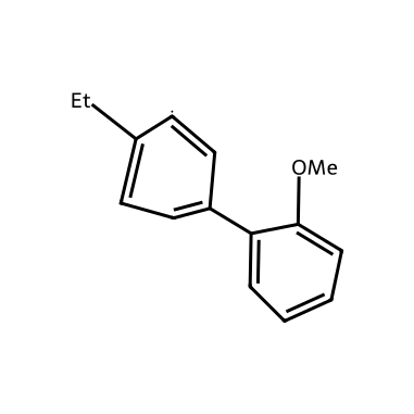 CCc1[c]cc(-c2ccccc2OC)cc1